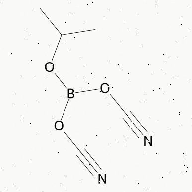 CC(C)OB(OC#N)OC#N